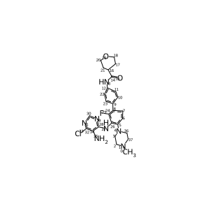 CN1CCN(c2ccc(-c3ccc(NC(=O)C4CCOCC4)cc3)c(F)c2Nc2ncnc(Cl)c2N)CC1